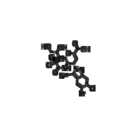 N#Cc1c2cc(Br)c(Cl)cc2nn1[C@H]1C=C(C(=O)O)O[C@@H]([C@H](O)[C@H](O)CO)[C@@H]1NC(=O)C(Cl)(Cl)Cl